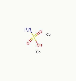 NS(=O)(=O)O.[Co].[Co]